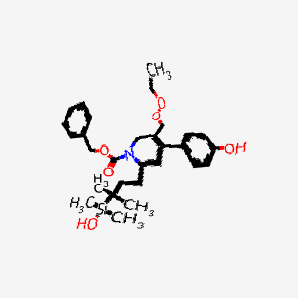 CCOOCC1=C(c2ccc(O)cc2)CC(CCC(C)(C)[Si](C)(C)O)N(C(=O)OCc2ccccc2)C1